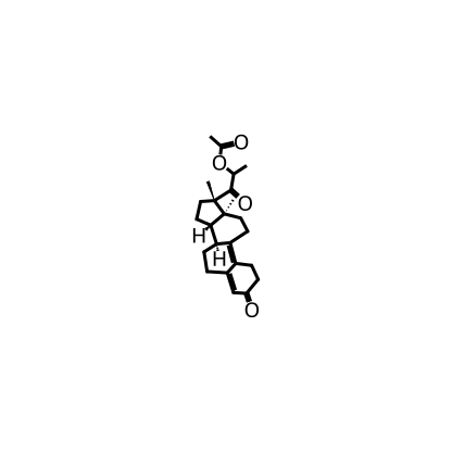 CC(=O)OC(C)C(=O)[C@@]1(C)CC[C@H]2[C@@H]3CCC4=CC(=O)CCC4=C3CC[C@@]21C